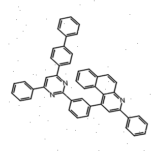 c1ccc(-c2ccc(-c3cc(-c4ccccc4)nc(-c4cccc(-c5cc(-c6ccccc6)nc6ccc7ccccc7c56)c4)n3)cc2)cc1